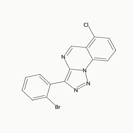 Clc1cccc2c1cnc1c(-c3ccccc3Br)nnn12